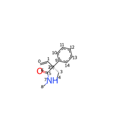 C=C[C@](CC)(C(=O)NC)c1ccccc1